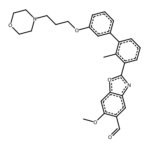 COc1cc2oc(-c3cccc(-c4cccc(OCCCN5CCOCC5)c4)c3C)nc2cc1C=O